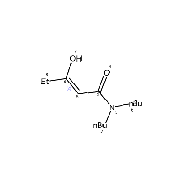 CCCCN(CCCC)C(=O)/C=C(\O)CC